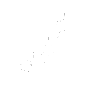 Cc1nccc(N2CC[C@]3(CCC[C@H](NC(=O)c4ccc(F)cn4)C3)C2=O)n1